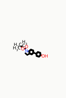 CC(C)(C)OC(=O)N1CCc2cc(-c3ccc(O)cc3)ccc21